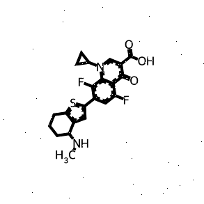 CNC1CCCc2sc(-c3cc(F)c4c(=O)c(C(=O)O)cn(C5CC5)c4c3F)cc21